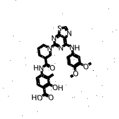 COc1ccc(Nc2nc(N3CCCC(C(=O)Nc4ccc(C(=O)O)c(O)c4C)C3)nc3scnc23)cc1OC